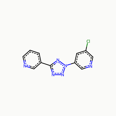 Clc1cncc(-n2nnc(-c3cccnc3)n2)c1